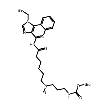 CCN(CCCCCC(=O)Nc1nc2ccccc2c2c1ncn2CC(C)C)CCCNC(=O)OC(C)(C)C